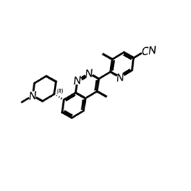 Cc1cc(C#N)cnc1-c1nnc2c([C@H]3CCCN(C)C3)cccc2c1C